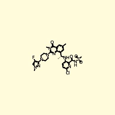 Cc1cc([C@@H](C)Nc2ccc(Cl)nc2C(=O)NS(C)(=O)=O)c2nc(N3CCN(c4nn(C)cc4F)CC3)n(C)c(=O)c2c1